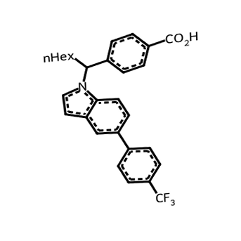 CCCCCCC(c1ccc(C(=O)O)cc1)n1ccc2cc(-c3ccc(C(F)(F)F)cc3)ccc21